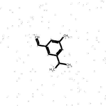 [CH]=Cc1cc(C)cc(C(C)C)c1